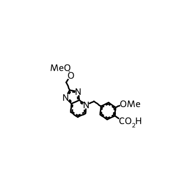 COOCc1nc2cccn(Cc3ccc(C(=O)O)c(OC)c3)c-2n1